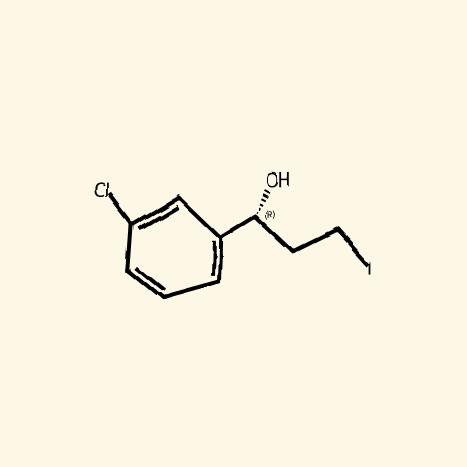 O[C@H](CCI)c1cccc(Cl)c1